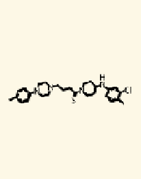 Cc1ccc(N2CCN(CCCC(=S)N3CCC(Nc4ccc(C)c(Cl)c4)CC3)CC2)cc1